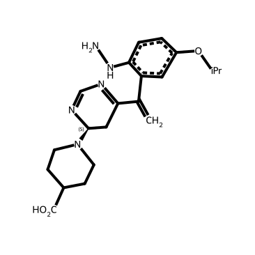 C=C(C1=NC=N[C@H](N2CCC(C(=O)O)CC2)C1)c1cc(OC(C)C)ccc1NN